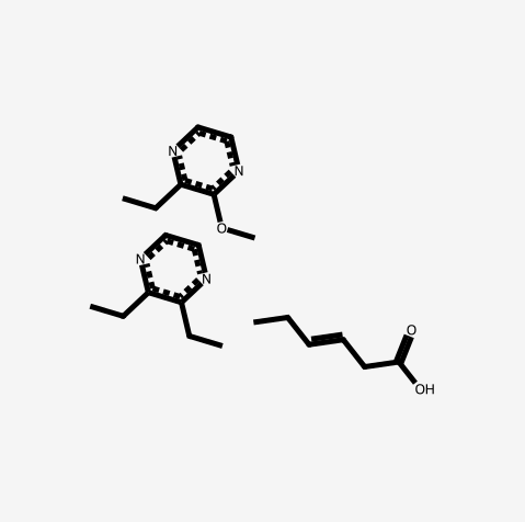 CCC=CCC(=O)O.CCc1nccnc1CC.CCc1nccnc1OC